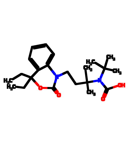 CCC1(CC)OC(=O)N(CCC(C)(C)N(C(=O)O)C(C)(C)C)c2ccccc21